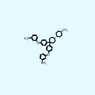 C[C@H]1CC[C@H](C2CCC(c3ccc(Oc4cccc(N)c4)cc3)(c3ccc(Oc4cccc(N)c4)cc3)CC2)CC1